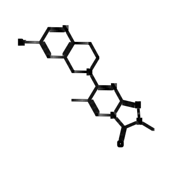 Cc1cn2c(=O)n(C)nc2nc1N1CCc2ncc(Br)cc2C1